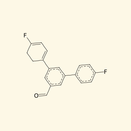 O=Cc1cc(C2=CC=C(F)CC2)cc(-c2ccc(F)cc2)c1